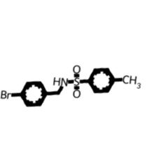 Cc1ccc(S(=O)(=O)NCc2ccc(Br)cc2)cc1